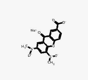 C[S+]([O-])c1cc([S+](C)[O-])c2oc3ccc(C(=O)[O-])cc3c(=O)c2c1.[Na+]